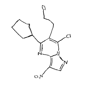 O=[N+]([O-])c1cnn2c(Cl)c(CCCl)c(C3CCCC3)nc12